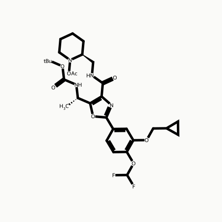 CC(=O)ON1CCCC[C@H]1CNC(=O)c1nc(-c2ccc(OC(F)F)c(OCC3CC3)c2)oc1[C@H](C)NC(=O)OC(C)(C)C